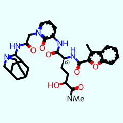 CNC(=O)C(O)CC[C@H](NC(=O)c1oc2ccccc2c1C)C(=O)Nc1cccn(CC(=O)NC2C3CC4CC(C3)CN2C4)c1=O